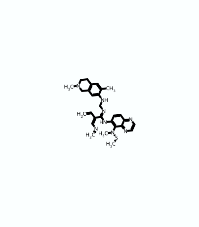 C=CC(=C/N=C)/C(=N\CNc1cc2c(cc1C)CCN(C)C2)Nc1ccc2nccnc2c1N(C)SC